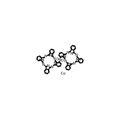 O=S(=O)(c1cccc2c3nc4nc(nc5[nH]c(nc6nc(nc([nH]3)c12)-c1ccccc1-6)c1ccccc51)-c1ccccc1-4)c1cccc2c3nc4nc(nc5[nH]c(nc6nc(nc([nH]3)c12)-c1ccccc1-6)c1ccccc51)-c1ccccc1-4.[Co]